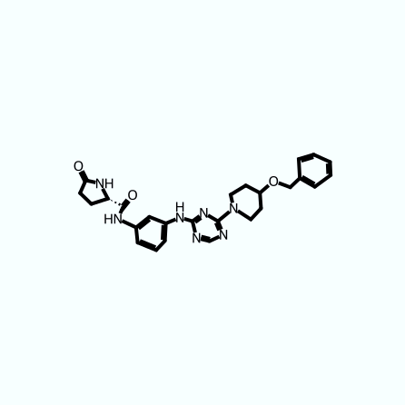 O=C1CC[C@@H](C(=O)Nc2cccc(Nc3ncnc(N4CCC(OCc5ccccc5)CC4)n3)c2)N1